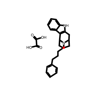 O=C(O)C(=O)O.c1ccc(CCCCN2C3CCCC2c2c([nH]c4ccccc24)C3)cc1